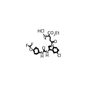 CCOC(=O)C(CCC(=O)n1cc(NC(=O)Nc2ccc(OC(F)F)cc2)c2cc(Cl)ccc21)N(C)C.Cl